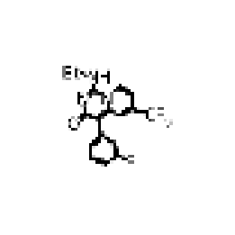 CCNc1nc(=O)c(-c2cccc(F)c2)c2cc(C(F)(F)F)ccn12